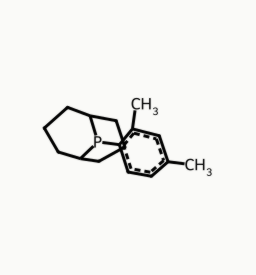 Cc1ccc(P2C3CCCC2CCC3)c(C)c1